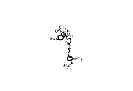 CCc1ccc(CCCOC(=O)CC(=O)O[As](=O)(O)c2ccc(O)cc2NC(C)=O)cc1CC